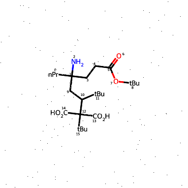 CCCC(N)(CCC(=O)OC(C)(C)C)CC(C(C)(C)C)C(C(=O)O)(C(=O)O)C(C)(C)C